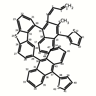 C=C/C=C\c1c(C)c(-c2cccs2)c2ccccc2c1-c1cccc2sc3ccc(-c4c5ccccc5c(-c5cccs5)c5ccccc45)cc3c12